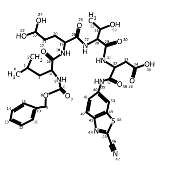 CC(C)CC(NC(=O)OCc1ccccc1)C(=O)NC(CCC(O)O)C(=O)NC(C(=O)NC(CC(=O)O)C(=O)Nc1ccc2nc(C#N)sc2c1)C(C)O